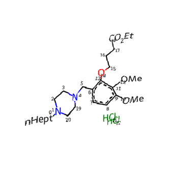 CCCCCCCN1CCN(Cc2ccc(OC)c(OC)c2OCCCC(=O)OCC)CC1.Cl.Cl